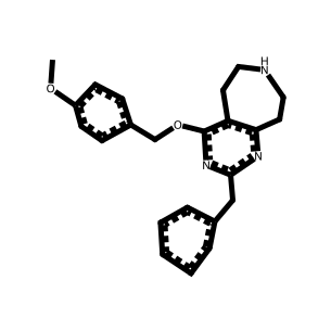 COc1ccc(COc2nc(Cc3ccccc3)nc3c2CCNCC3)cc1